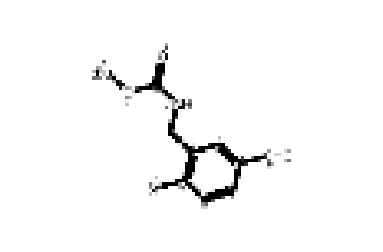 CC(C)(C)OC(=O)NCc1cc(C=O)ccc1Br